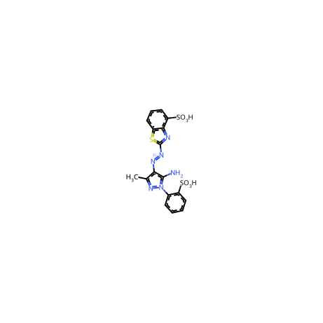 Cc1nn(-c2ccccc2S(=O)(=O)O)c(N)c1/N=N/c1nc2c(S(=O)(=O)O)cccc2s1